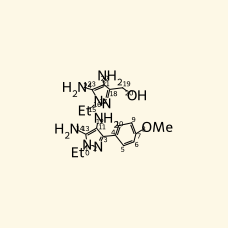 CCn1nc(-c2ccc(OC)cc2)c(N)c1N.CCn1nc(CO)c(N)c1N